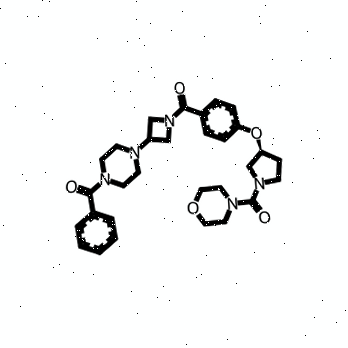 O=C(c1ccccc1)N1CCN(C2CN(C(=O)c3ccc(O[C@H]4CCN(C(=O)N5CCOCC5)C4)cc3)C2)CC1